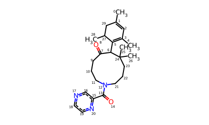 CC1=CC(C)=C(C2C(=O)CCCN(C(=O)c3cnccn3)CCCC2(C)C)C(C)C1